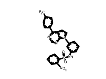 O=[N+]([O-])c1ccccc1S(=O)(=O)Nc1cccc(-n2ccc3c(-c4ccc(C(F)(F)F)cc4)ncnc32)c1